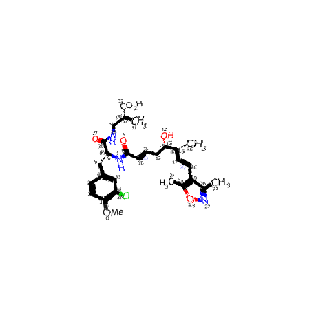 COc1ccc(C[C@@H](NC(=O)/C=C/C[C@H](O)[C@H](C)/C=C/c2c(C)noc2C)C(=O)NC[C@@H](C)C(=O)O)cc1Cl